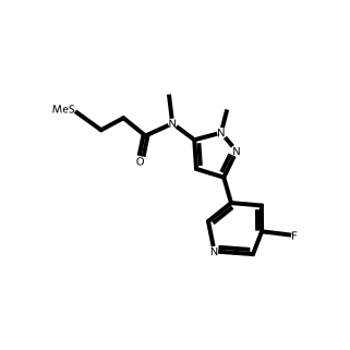 CSCCC(=O)N(C)c1cc(-c2cncc(F)c2)nn1C